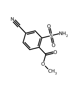 COC(=O)c1ccc(C#N)cc1S(N)(=O)=O